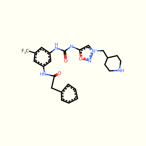 O=C(Cc1ccccc1)Nc1cc(NC(=O)[N-]c2c[n+](CC3CCNCC3)no2)cc(C(F)(F)F)c1